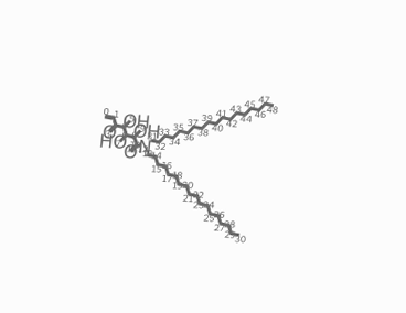 C=CC(=O)C(O)C(O)C(O)C(=O)N(CCCCCCCCCCCCCCCCCC)CCCCCCCCCCCCCCCCCC